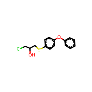 OC(CCl)CSc1ccc(Oc2ccccc2)cc1